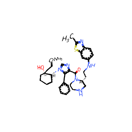 COC[C@]1(O)CCCC[C@H]1n1cnc(C(=O)N2CCNC[C@H]2CCNc2ccc3nc(C)sc3c2)c1-c1ccccc1